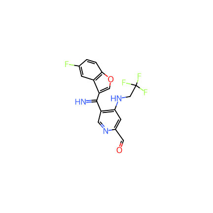 N=C(c1cnc(C=O)cc1NCC(F)(F)F)c1coc2ccc(F)cc12